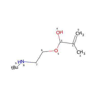 C=C(C)C(O)OCCNC(C)(C)C